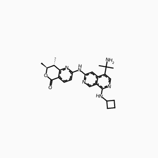 C[C@@H]1OC(=O)c2ccc(Nc3cc4c(C(C)(C)N)cnc(NC5CCC5)c4cn3)nc2[C@H]1C